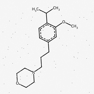 COc1cc(CCCN2CCOCC2)ccc1C(C)C